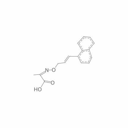 CC(=NOCC=Cc1cccc2ccccc12)C(=O)O